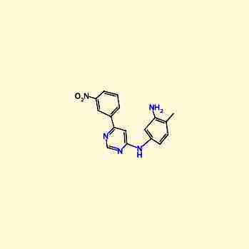 Cc1ccc(Nc2cc(-c3cccc([N+](=O)[O-])c3)ncn2)cc1N